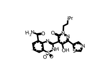 CC(C)CCn1nc(-c2cncs2)c(O)c(C2=Nc3c(C(N)=O)c[c]cc3S(=O)(=O)N2)c1=O